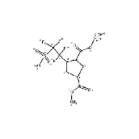 COC(=O)C1CC(C(=O)OC)C(C(F)(F)C(F)(F)S(=O)(=O)O)C1.[NaH]